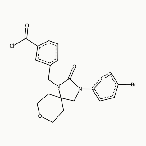 O=C(Cl)c1cccc(CN2C(=O)N(c3ccc(Br)cc3)CC23CCOCC3)c1